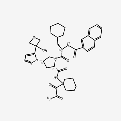 NC(=O)C(=O)C1(NC(=O)[C@@H]2C[C@H](n3nncc3C3(O)COC3)CN2C(=O)[C@@H](CC2CCCCC2)NC(=O)c2ccc3ccccc3c2)CCCCC1